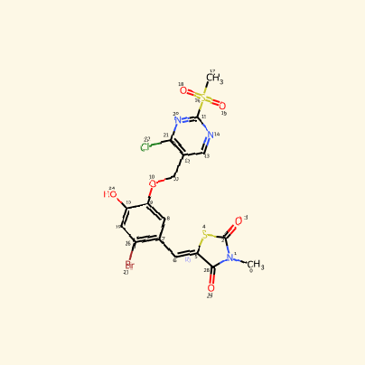 CN1C(=O)S/C(=C\c2cc(OCc3cnc(S(C)(=O)=O)nc3Cl)c(O)cc2Br)C1=O